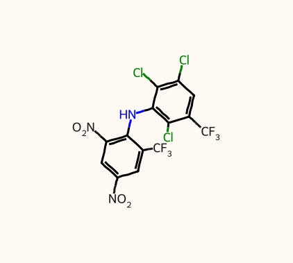 O=[N+]([O-])c1cc([N+](=O)[O-])c(Nc2c(Cl)c(Cl)cc(C(F)(F)F)c2Cl)c(C(F)(F)F)c1